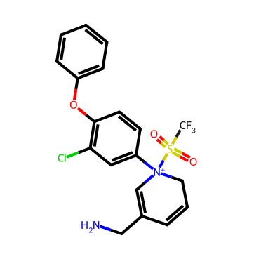 NCC1=C[N+](c2ccc(Oc3ccccc3)c(Cl)c2)(S(=O)(=O)C(F)(F)F)CC=C1